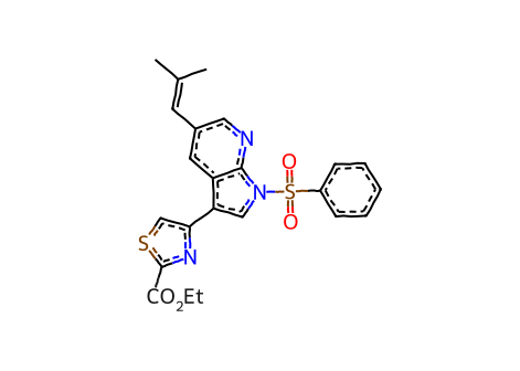 CCOC(=O)c1nc(-c2cn(S(=O)(=O)c3ccccc3)c3ncc(C=C(C)C)cc23)cs1